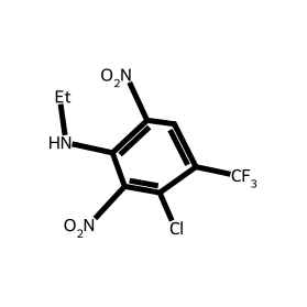 CCNc1c([N+](=O)[O-])cc(C(F)(F)F)c(Cl)c1[N+](=O)[O-]